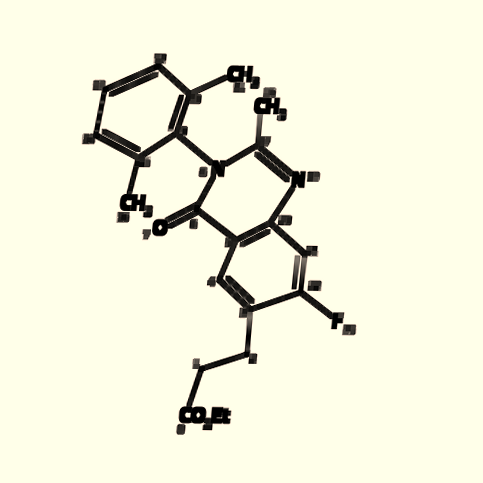 CCOC(=O)CCc1cc2c(=O)n(-c3c(C)cccc3C)c(C)nc2cc1F